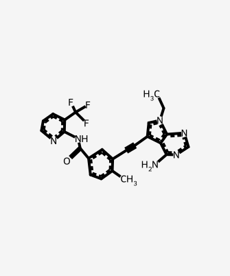 CCn1cc(C#Cc2cc(C(=O)Nc3ncccc3C(F)(F)F)ccc2C)c2c(N)ncnc21